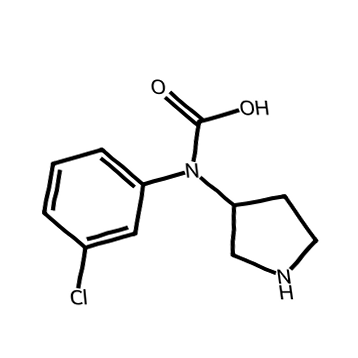 O=C(O)N(c1cccc(Cl)c1)C1CCNC1